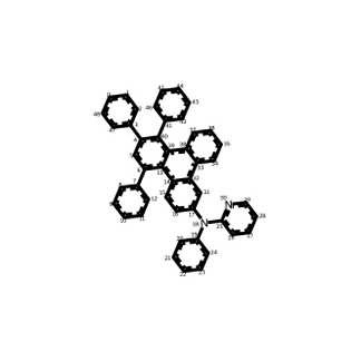 c1ccc(-c2cc(-c3ccccc3)c3c4ccc(N(c5ccccc5)c5ccccn5)cc4c4ccccc4c3c2-c2ccccc2)cc1